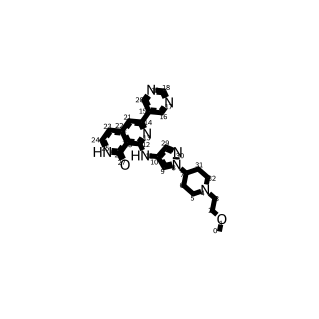 COCCN1CCC(n2cc(Nc3nc(-c4cncnc4)cc4cc[nH]c(=O)c34)cn2)CC1